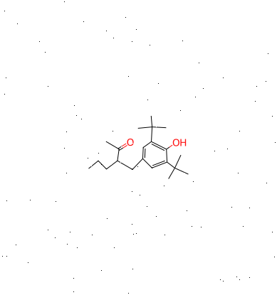 CCCC(Cc1cc(C(C)(C)C)c(O)c(C(C)(C)C)c1)C(C)=O